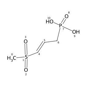 CS(=O)(=O)C=CCP(=O)(O)O